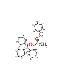 CC(COC(c1ccccc1)(c1ccccc1)c1ccccc1)OCc1ccccc1